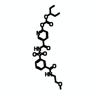 CCC(CC)OC(=O)Oc1ccc(C(=O)NS(=O)(=O)c2cccc(C(=O)NCCOC)c2)cn1